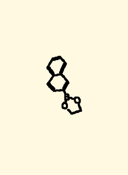 c1ccc2cc(B3OCCO3)ccc2c1